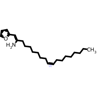 CCCCCCCC/C=C\CCCCCCCC(N)=Cc1ccco1